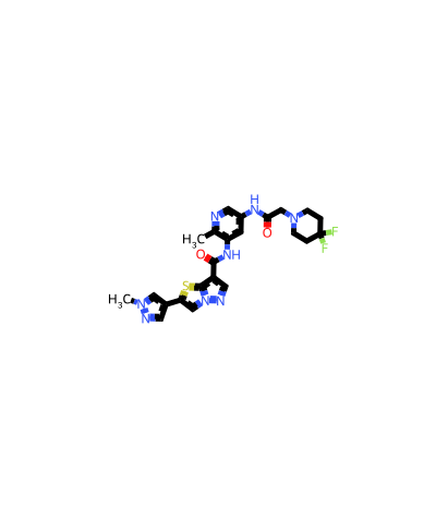 Cc1ncc(NC(=O)CN2CCC(F)(F)CC2)cc1NC(=O)c1cnn2cc(-c3cnn(C)c3)sc12